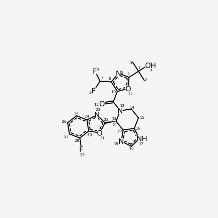 CC(C)(O)c1nc(C(F)F)c(C(=O)N2CCc3[nH]cnc3[C@H]2c2nc3cccc(F)c3o2)o1